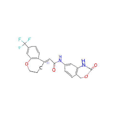 O=C(/C=C1\CCCOc2cc(C(F)(F)F)ccc21)Nc1ccc2c(c1)NC(=O)OC2